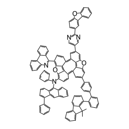 CC1(C)c2ccccc2-c2cccc(-c3ccccc3-c3ccc(-c4cc5oc6cc(-c7cnc(-c8ccc9oc%10ccccc%10c9c8)nc7)cc7c8ccc(-c9nc%10ccccc%10c%10ccccc9%10)c9oc%10c(N(c%11ccccc%11)c%11c%12ccccc%12cc%12c(-c%13ccccc%13)cccc%11%12)ccc(c(c4)c5c67)c%10c98)cc3)c21